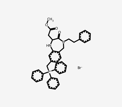 COC(=O)CC1Nc2cc(C[P+](c3ccccc3)(c3ccccc3)c3ccccc3)ccc2CN(CCc2ccccc2)C1=O.[Br-]